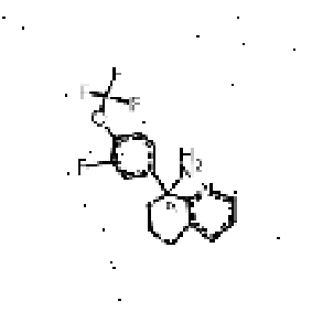 N[C@]1(c2ccc(OC(F)(F)F)c(F)c2)CCCc2cccnc21